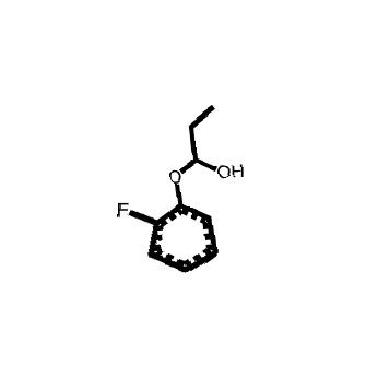 CCC(O)Oc1ccccc1F